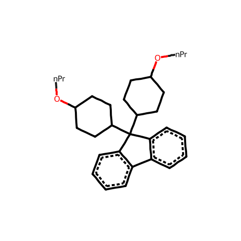 CCCOC1CCC(C2(C3CCC(OCCC)CC3)c3ccccc3-c3ccccc32)CC1